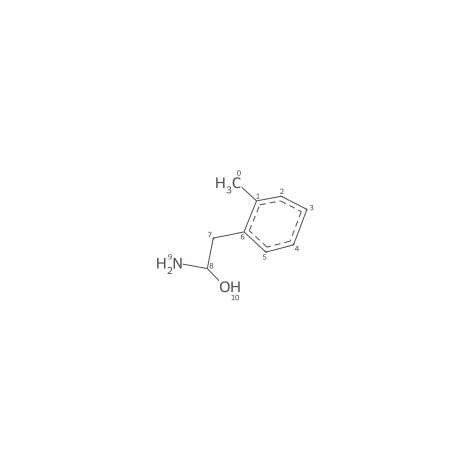 Cc1ccccc1CC(N)O